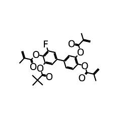 C=C(C)C(=O)Oc1ccc(-c2cc(F)c(OC(=O)C(=C)C)c(OC(=O)C(C)(C)C)c2)cc1OC(=O)C(=C)C